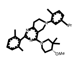 CO[C@@H]1CCN(c2nc(-c3c(C)cccc3C)nc3c2CN(c2cc(C(C)C)ccc2C)CC3)CC1(C)C